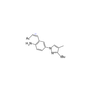 CC(=O)/C=C\c1cc(-n2cc(C)c(C(C)(C)C)n2)ccc1N